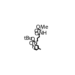 COC(=O)[C@H](C)NC(=O)CCCN(C(=O)OC(C)(C)C)c1cc(C)ccn1